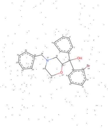 OC(c1ccccc1)(c1ccccc1Br)C1CN(Cc2ccccc2)CCO1